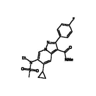 CCN(c1cn2nc(-c3ccc(F)cc3)c(C(=O)NC)c2cc1C1CC1)S(C)(=O)=O